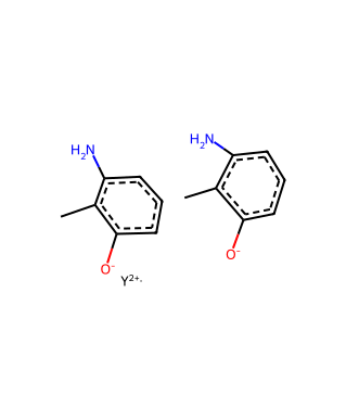 Cc1c(N)cccc1[O-].Cc1c(N)cccc1[O-].[Y+2]